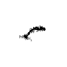 CN1C(=O)/C(=C\c2cc3ccc(N(C)CCOC(=O)NCc4ccc(COc5nc(N)nc6[nH]cnc56)cc4)cc3s2)N=C1c1ccccc1